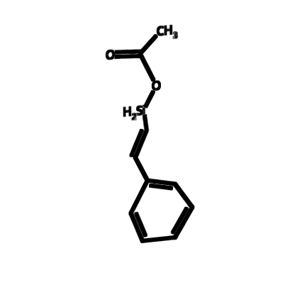 CC(=O)O[SiH2]C=Cc1ccccc1